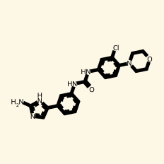 Nc1ncc(-c2cccc(NC(=O)Nc3ccc(N4CCOCC4)c(Cl)c3)c2)[nH]1